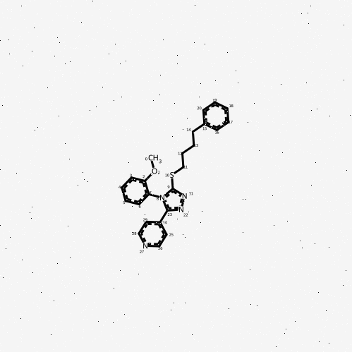 COc1ccccc1-n1c(SCCCCc2ccccc2)nnc1-c1ccncc1